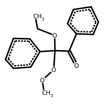 CCOC(OOC)(C(=O)c1ccccc1)c1ccccc1